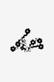 O=C(OC(=O)N(CCCCc1ccccc1)Cc1ccc(Oc2ccccc2)cc1)C1CCC1C(=O)OC(=O)N(CCCCc1ccccc1)Cc1ccc(Oc2ccccc2)cc1